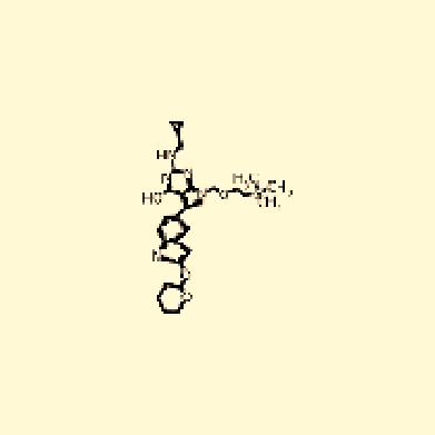 C[Si](C)(C)CCOCn1cc(-c2ccc3ncc(OC4CCCCO4)cc3c2)c2c(O)nc(NCC3CC3)nc21